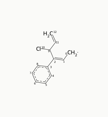 [CH2]C=C(c1ccccc1)C(Cl)C=C